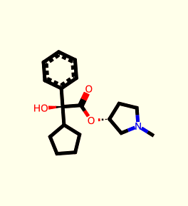 CN1CC[C@@H](OC(=O)[C@@](O)(c2ccccc2)C2CCCC2)C1